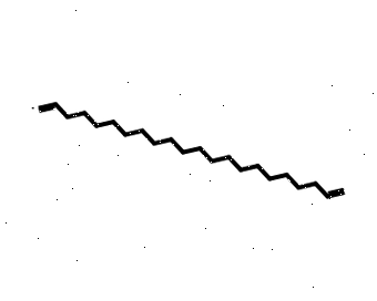 [CH]=CCCCCCCCCCCCCCCCCCCC=C